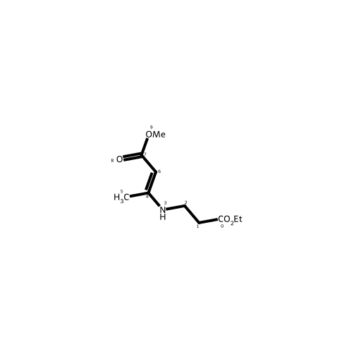 CCOC(=O)CCNC(C)=CC(=O)OC